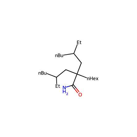 CCCCCCC(CC(CC)CCCC)(CC(CC)CCCC)C(N)=O